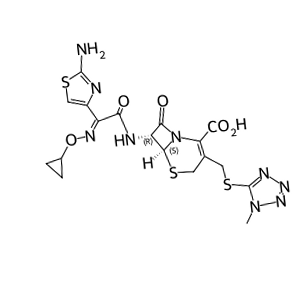 Cn1nnnc1SCC1=C(C(=O)O)N2C(=O)[C@@H](NC(=O)C(=NOC3CC3)c3csc(N)n3)[C@@H]2SC1